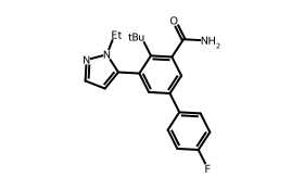 CCn1nccc1-c1cc(-c2ccc(F)cc2)cc(C(N)=O)c1C(C)(C)C